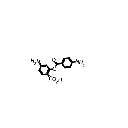 Nc1ccc(C(=O)Oc2cc(N)ccc2C(=O)O)cc1